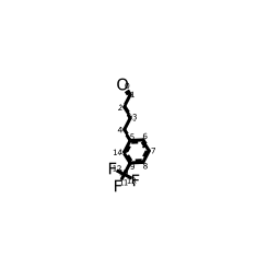 O=CCCCc1cccc(C(F)(F)F)c1